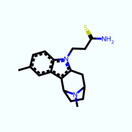 Cc1ccc2c(c1)c1c(n2CCC(N)=S)CC2CCC1N2C